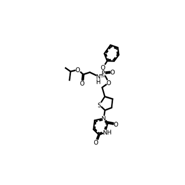 CC(C)OC(=O)CN[P@](=O)(OCC1CCC(n2ccc(=O)[nH]c2=O)S1)Oc1ccccc1